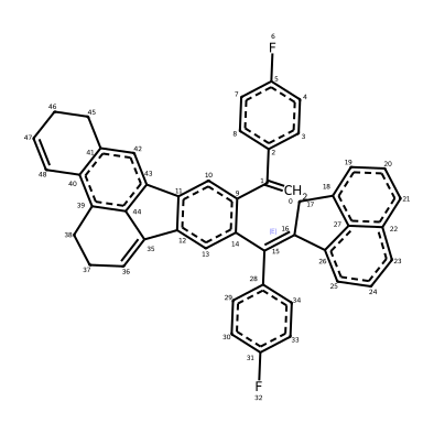 C=C(c1ccc(F)cc1)c1cc2c(cc1/C(=C1\Cc3cccc4cccc1c34)c1ccc(F)cc1)C1=CCCc3c4c(cc-2c31)CCC=C4